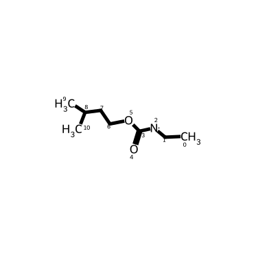 CC[N]C(=O)OCCC(C)C